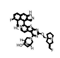 C#Cc1c(F)ccc2cc3[nH]ncc3c(-c3nccc4c3sc3nc(OC[C@@]56CCCN5C/C(=C\F)C6)nc(N5C[C@@H]6C[C@H](O)[C@H](C5)N6)c34)c12